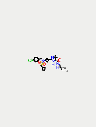 CC1(C)N=C(C23CC(N(Cc4ccc(Cl)cc4)S(=O)(=O)CC4CCC4)(C2)C3)N[C@H]1C(=O)NCCC(F)(F)F